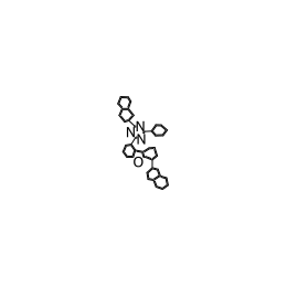 c1ccc(-c2nc(-c3ccc4ccccc4c3)nc(-c3cccc4oc5c(-c6ccc7ccccc7c6)cccc5c34)n2)cc1